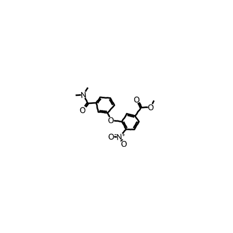 COC(=O)c1ccc([N+](=O)[O-])c(Oc2cccc(C(=O)N(C)C)c2)c1